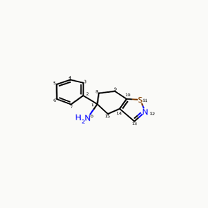 NC1(c2ccccc2)CCc2sncc2C1